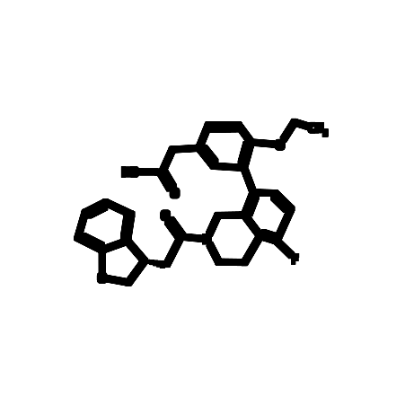 CCOc1ccc(CC(=O)O)cc1-c1ccc(F)c2c1CN(C(=O)C[C@@H]1COc3ccccc31)CC2